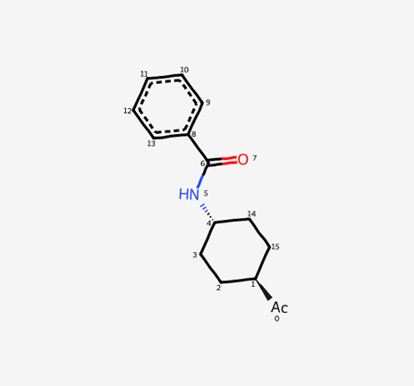 CC(=O)[C@H]1CC[C@H](NC(=O)c2ccccc2)CC1